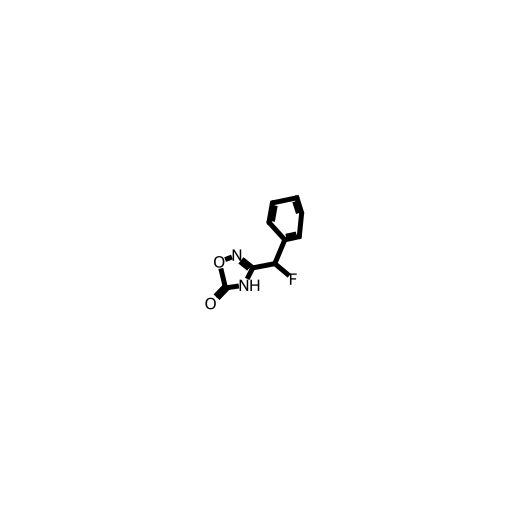 O=c1[nH]c(C(F)c2ccccc2)no1